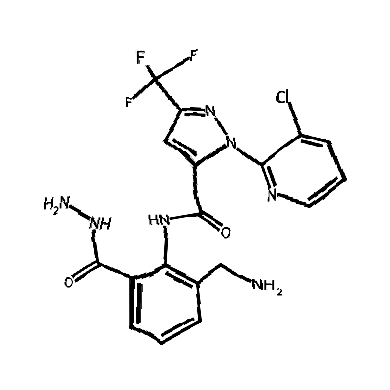 NCc1cccc(C(=O)NN)c1NC(=O)c1cc(C(F)(F)F)nn1-c1ncccc1Cl